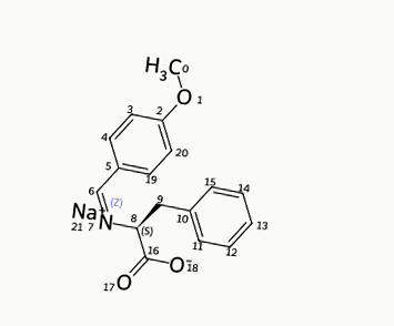 COc1ccc(/C=N\[C@@H](Cc2ccccc2)C(=O)[O-])cc1.[Na+]